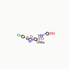 COc1cc(-n2cnc3cc(-c4ccc(Cl)cc4)sc3c2=O)ccc1OCC(=O)NCCc1ccc(O)cc1